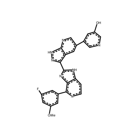 COc1cc(F)cc(-c2nccc3[nH]c(-c4n[nH]c5ncc(-c6cncc(O)c6)cc45)nc23)c1